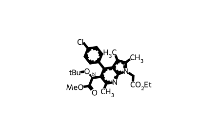 CCOC(=O)Cn1c(C)c(C)c2c(-c3ccc(Cl)cc3)c([C@H](OC(C)(C)C)C(=O)OC)c(C)nc21